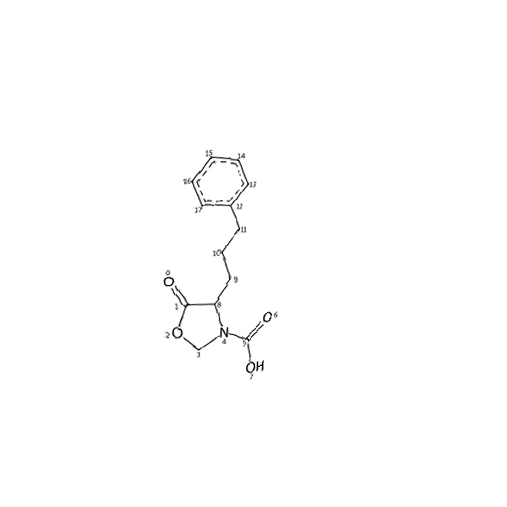 O=C1OCN(C(=O)O)C1CCCc1ccccc1